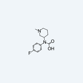 CN1CCCC(N(C(=O)O)c2ccc(F)cc2)C1